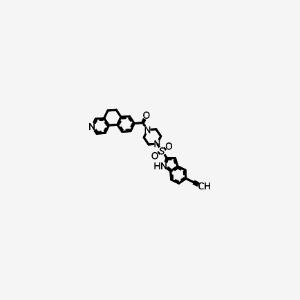 C#Cc1ccc2[nH]c(S(=O)(=O)N3CCN(C(=O)c4ccc5c(c4)CCc4cnccc4-5)CC3)cc2c1